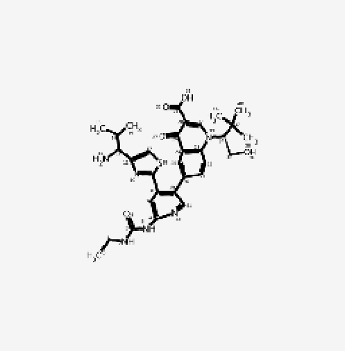 CCNC(=O)Nc1cc(-c2nc(C(N)C(C)C)cs2)c(-c2ccc3c(c2)c(=O)c(C(=O)O)cn3[C@H](CO)C(C)(C)C)cn1